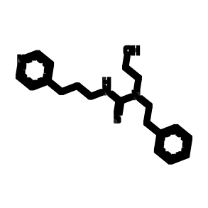 OCCN(CCc1ccccc1)C(=S)NCCCc1ccncc1